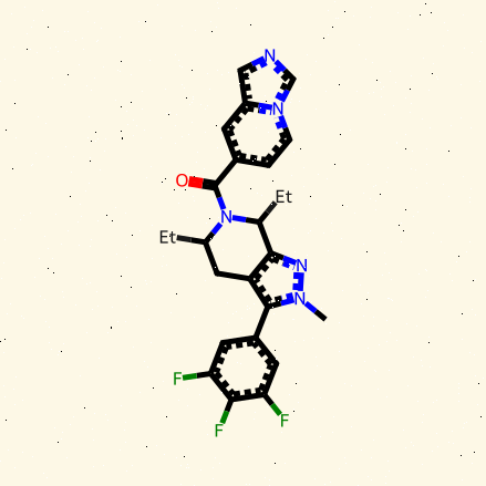 CCC1Cc2c(nn(C)c2-c2cc(F)c(F)c(F)c2)C(CC)N1C(=O)c1ccn2cncc2c1